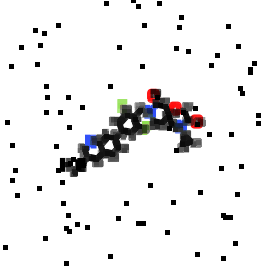 Cc1cnc2cc(-c3cc(F)c(CN4CCC5(CC4=O)CN(C4CC4)C(=O)CO5)c(F)c3)ccc2c1